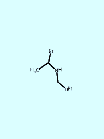 CCCCNC(C)CC